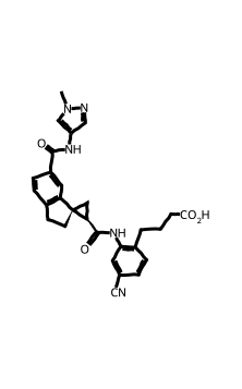 Cn1cc(NC(=O)c2ccc3c(c2)[C@]2(CC3)C[C@H]2C(=O)Nc2cc(C#N)ccc2CCCC(=O)O)cn1